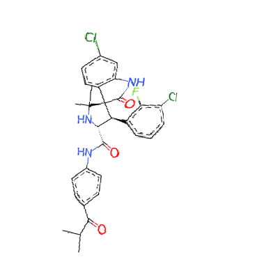 CC(C)C(=O)c1ccc(NC(=O)[C@@H]2NC(C)(C)[C@@]3(C(=O)Nc4cc(Cl)ccc43)[C@H]2c2cccc(Cl)c2F)cc1